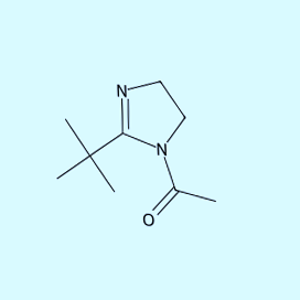 CC(=O)N1CCN=C1C(C)(C)C